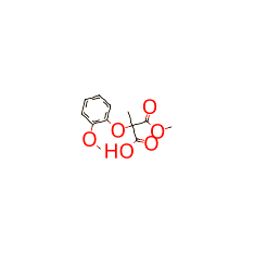 COC(=O)C(C)(Oc1ccccc1OC)C(=O)O